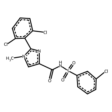 Cn1cc(C(=O)NS(=O)(=O)c2cccc(Cl)c2)nc1-c1c(Cl)cccc1Cl